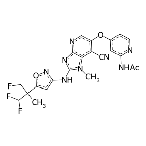 CC(=O)Nc1cc(Oc2cnc3nc(Nc4cc(C(C)(CF)C(F)F)on4)n(C)c3c2C#N)ccn1